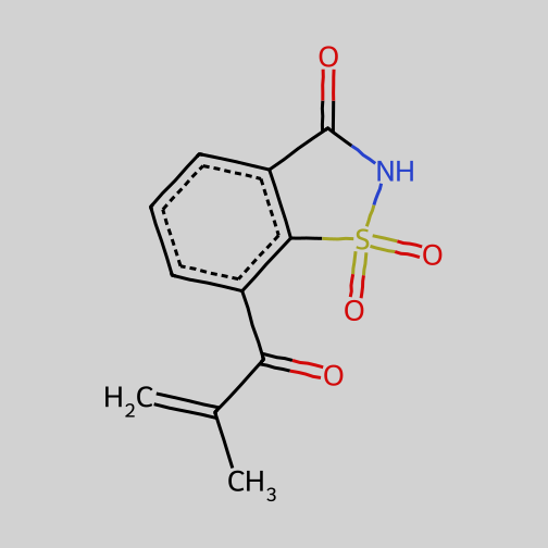 C=C(C)C(=O)c1cccc2c1S(=O)(=O)NC2=O